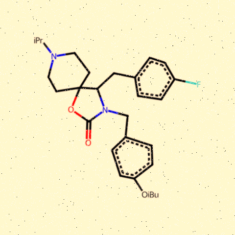 CC(C)COc1ccc(CN2C(=O)OC3(CCN(C(C)C)CC3)C2Cc2ccc(F)cc2)cc1